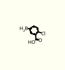 Bc1ccc(Cl)c(C(=O)O)c1